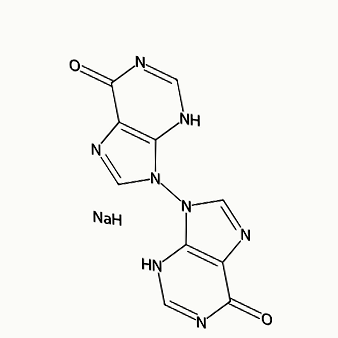 O=c1nc[nH]c2c1ncn2-n1cnc2c(=O)nc[nH]c21.[NaH]